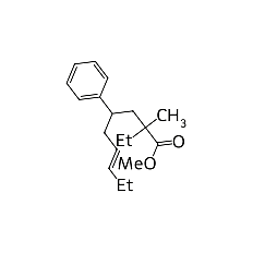 CCC=CCC(CC(C)(CC)C(=O)OC)c1ccccc1